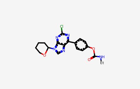 CCNC(=O)Oc1ccc(-c2nc(Cl)nc3c2ncn3C2CCCCO2)cc1